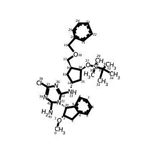 CO[C@H]1Cc2ccccc2[C@H]1N1C(N[C@@H]2C[C@@H](COCc3ccccc3)[C@@H](O[Si](C)(C)C(C)(C)C)C2)=NC(Cl)=NC1N